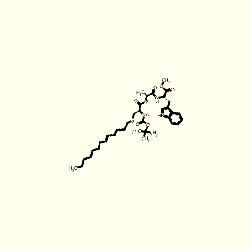 CCCCCCCCCCC=CCSC[C@H](NC(=O)OC(C)(C)C)C(=O)N[C@@H](C)C(=O)N[C@@H](Cc1c[nH]c2ccccc12)C(=O)OC